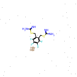 Br.Br.N=C(N)SCc1c(F)c(F)c(F)c(F)c1CSC(=N)N